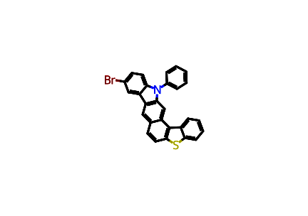 Brc1ccc2c(c1)c1cc3ccc4sc5ccccc5c4c3cc1n2-c1ccccc1